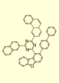 C1=CC2C=Cc3ccccc3C2C=C1c1nc(-c2ccc3ccccc3c2)nc(-c2c(-c3ccc(-c4ccccc4)cc3)ccc3oc4ccccc4c23)n1